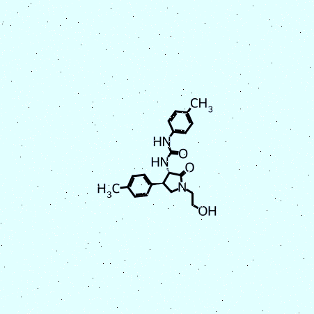 Cc1ccc(NC(=O)N[C@@H]2C(=O)N(CCO)C[C@H]2c2ccc(C)cc2)cc1